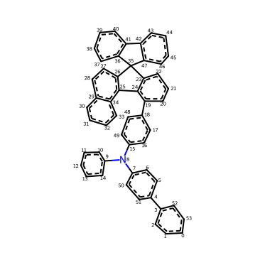 c1ccc(-c2ccc(N(c3ccccc3)c3ccc(-c4cccc5c4-c4c(ccc6ccccc46)C54c5ccccc5-c5ccccc54)cc3)cc2)cc1